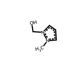 C[n+]1cccn1CO